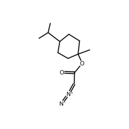 CC(C)C1CCC(C)(OC(=O)C=[N+]=[N-])CC1